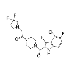 O=C(CN1CCC(F)(F)C1)N1CCN(C(=O)c2[nH]c3ccc(F)c(Cl)c3c2F)CC1